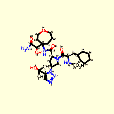 CC(C)(O)c1cnnn1[C@H]1C[C@@H](C(=O)NC2(C(O)C(N)=O)CCCOCC2)N(C(=O)[C@@H](CC2CCCCC2)NC(=O)O)C1